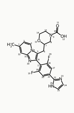 Cc1ccn2c(CC3CN(C(=O)O)CCO3)c(-c3c(F)cc(-c4ncc[nH]4)cc3F)nc2c1